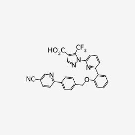 N#Cc1ccc(-c2ccc(COc3ccccc3-c3cccc(-n4ncc(C(=O)O)c4C(F)(F)F)n3)cc2)nc1